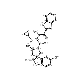 CN(C(=O)c1cc2cccnc2[nH]1)[C@@H](CC1CC1)C(=O)N1C[C@]2(C[C@H]1C#N)C(=O)Nc1ccc(Cl)cc12